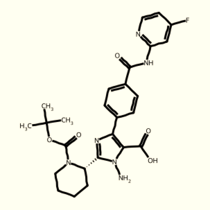 CC(C)(C)OC(=O)N1CCCC[C@H]1c1nc(-c2ccc(C(=O)Nc3cc(F)ccn3)cc2)c(C(=O)O)n1N